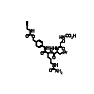 C#CCNC(=O)OCc1ccc(NC(=O)C(CCCNC(N)=O)NC(=O)C(CC(C)C)NC(=O)CONC(=O)O)cc1